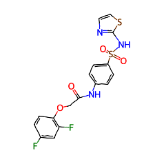 O=C(COc1ccc(F)cc1F)Nc1ccc(S(=O)(=O)Nc2nccs2)cc1